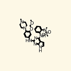 COCOc1cc(Nc2nc(Nc3ccccc3N(C)S(C)(=O)=O)c3cc[nH]c3n2)ccc1N1CCN(C)CC1